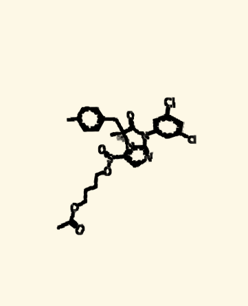 CC(=O)OCCCCOS(=O)c1cnc2n1[C@](C)(Cc1ccc(C)cc1)C(=O)N2c1cc(Cl)cc(Cl)c1